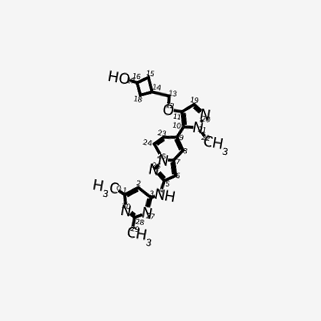 Cc1cc(Nc2cc3cc(-c4c(OCC5CC(O)C5)cnn4C)ccn3n2)nc(C)n1